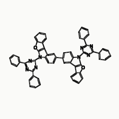 c1ccc(-c2nc(-c3ccccc3)nc(-n3c4ccc(-c5ccc6c(c5)c5c7ccccc7oc5n6-c5nc(-c6ccccc6)nc(-c6ccccc6)n5)cc4c4c5ccccc5oc43)n2)cc1